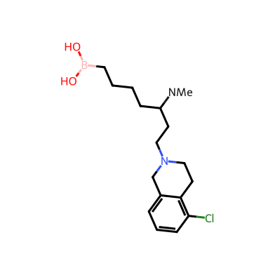 CNC(CCCCB(O)O)CCN1CCc2c(Cl)cccc2C1